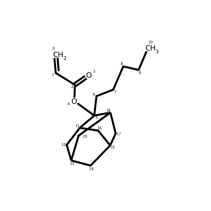 C=CC(=O)OC1(CCCCC)C2CC3CC(C2)CC1C3